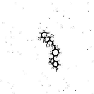 Cc1nc2n(c(=O)c1CC/C=C1/CCCC(c3noc4cc(F)ccc34)CC1)CCCC2=O